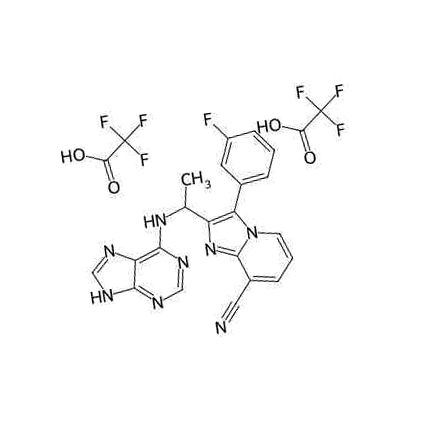 CC(Nc1ncnc2[nH]cnc12)c1nc2c(C#N)cccn2c1-c1cccc(F)c1.O=C(O)C(F)(F)F.O=C(O)C(F)(F)F